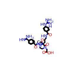 CC(=O)C1(CCCNC(=O)c2ccc(NC(=N)N)cc2)C(=O)N(CC(=O)O)CCN1NC(=O)c1ccc(C(=N)N)cc1